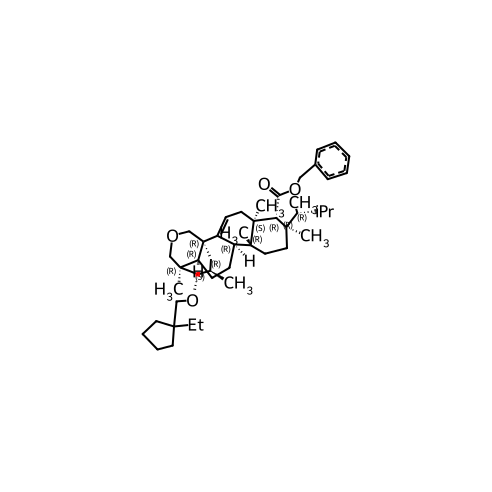 CCC1(CO[C@H]2[C@H](C)C[C@@]34COC[C@@]2(C)[C@@H]3CC[C@H]2C4=CC[C@@]3(C)[C@H](C(=O)OCc4ccccc4)[C@@](C)([C@H](C)C(C)C)CC[C@]23C)CCCC1